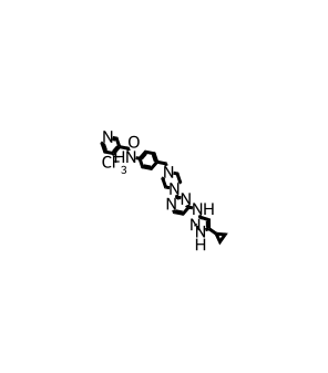 O=C(Nc1ccc(CN2CCN(c3nccc(Nc4cc(C5CC5)[nH]n4)n3)CC2)cc1)c1cnccc1C(F)(F)F